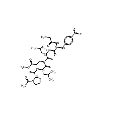 COC(=O)CCN(C(=O)[C@H](CC(C)C)NC(=O)[C@@H](NC(=O)CN)Nc1ccc([N+](=O)[O-])cc1)C(=O)[C@H](CC(C)C)NC(=O)[C@@H]1CCCN1C(C)=O